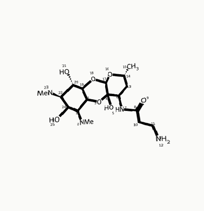 CNC1C2OC3(O)C(NC(=O)CCN)C[C@@H](C)OC3OC2[C@@H](O)[C@H](NC)C1O